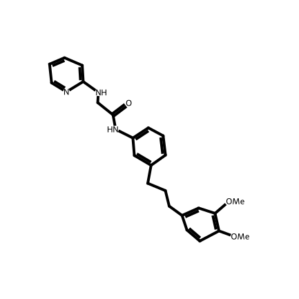 COc1ccc(CCCc2cccc(NC(=O)CNc3ccccn3)c2)cc1OC